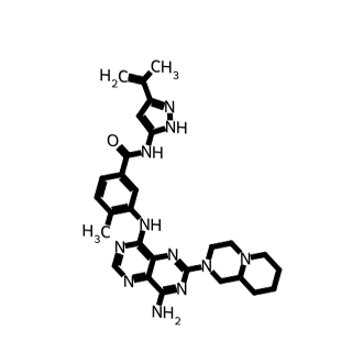 C=C(C)c1cc(NC(=O)c2ccc(C)c(Nc3ncnc4c(N)nc(N5CCN6CCCCC6C5)nc34)c2)[nH]n1